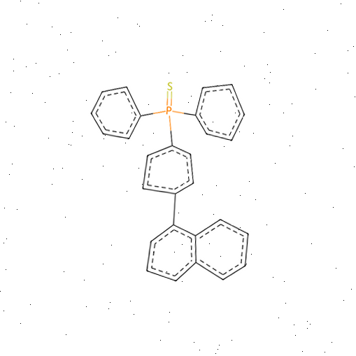 S=P(c1ccccc1)(c1ccccc1)c1ccc(-c2cccc3ccccc23)cc1